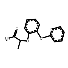 CC(Oc1ccccc1Oc1ccccn1)C(N)=O